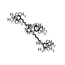 CC1(C)CC(CCCCNc2ncnc(N(CCCCCCNC3CC(C)(C)NC(C)(C)C3)C3CC(C)(C)NC(C)(C)C3)n2)CC(C)(C)N1